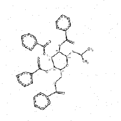 CC(C)S[C@@H]1O[C@H](COC(=O)c2ccccc2)[C@H](OC(=O)c2ccccc2)[C@H](OC(=O)c2ccccc2)[C@H]1OC(=O)c1ccccc1